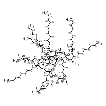 CCCCCCCCCCCCOCC(COC([O])(CCOC(CCCCCCCC)C(C)OCCCCCCCCCCCC)OC(OCCC)(OC(C)C(CCCCCCCC)OCCCCCCCCCC)C(COCCCCCCCCCCC)(OCCCCCCCCCCC)OCCCOC(C)C(CCCCCCCC)OCCCCCCCCCCCC)OCCCCCCCCCCCC